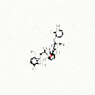 Cc1c(Cl)cccc1N[C@H](C)C(=O)N1[C@@H]2CC[C@H]([C@H]1C(=O)N[C@@H](C#N)C[C@@H]1CCCNC1=O)C(F)(F)C2